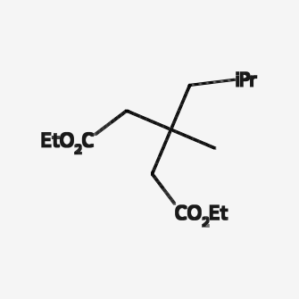 CCOC(=O)CC(C)(CC(=O)OCC)CC(C)C